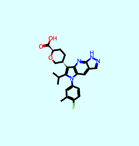 Cc1cc(-n2c(C(C)C)c([C@H]3CC[C@H](C(=O)O)OC3)c3nc4[nH]ncc4cc32)ccc1F